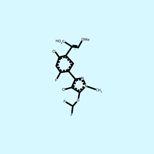 CO/C=C(\C(=O)O)c1cc(-c2nn(C)c(OC(F)F)c2Cl)c(F)cc1Cl